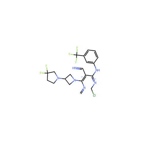 C=N/C(=C(C=N)\C(=N/CCl)Nc1cccc(C(F)(F)F)c1)N1CC(N2CCC(F)(F)C2)C1